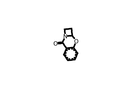 O=C1c2ccccc2OC2CCN12